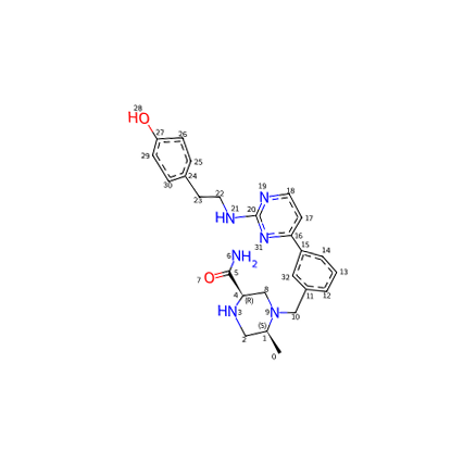 C[C@H]1CN[C@@H](C(N)=O)CN1Cc1cccc(-c2ccnc(NCCc3ccc(O)cc3)n2)c1